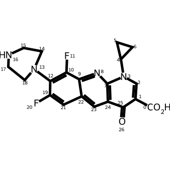 O=C(O)c1cn(C2CC2)c2nc3c(F)c(N4CCNCC4)c(F)cc3cc2c1=O